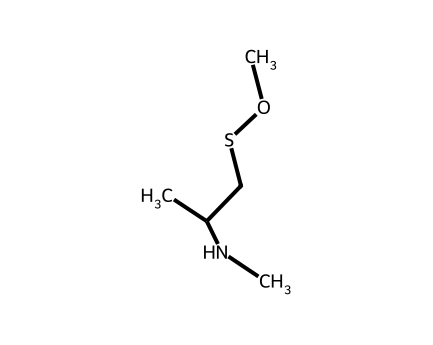 CNC(C)CSOC